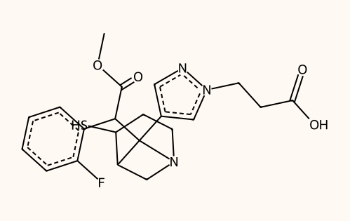 COC(=O)C(c1ccccc1F)C1(c2cnn(CCC(=O)O)c2)C2CN1CCC2S